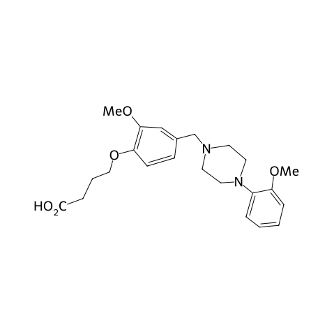 COc1cc(CN2CCN(c3ccccc3OC)CC2)ccc1OCCCC(=O)O